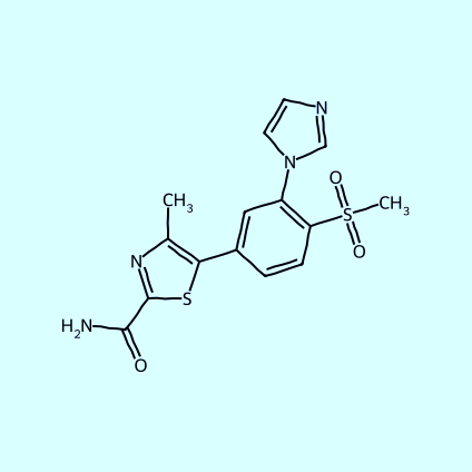 Cc1nc(C(N)=O)sc1-c1ccc(S(C)(=O)=O)c(-n2ccnc2)c1